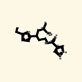 CCc1ccc(C(CCNC(=O)c2cnoc2)CC(C)N)s1